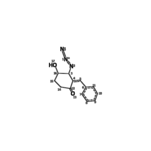 [N-]=[N+]=NC1C(=Cc2ccccc2)C(=O)CCC1O